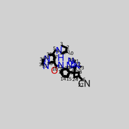 C[C@H]1CCN(Cc2cc(C(=O)Nc3cccc(C4(c5nncn5C)CC(CC#N)C4)c3)c3nccn3c2)C1